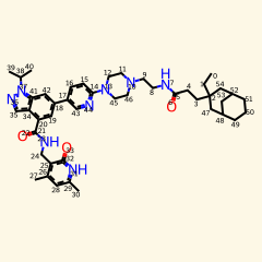 CCC1(CCC(=O)NCCN2CCN(c3ccc(-c4cc(C(=O)NCc5c(C)cc(C)[nH]c5=O)c5cnn(C(C)C)c5c4)cn3)CC2)CC2CCCC(C2)C1